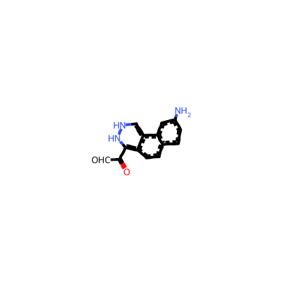 Nc1ccc2ccc3c(c2c1)=CNNC=3C(=O)C=O